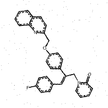 O=c1ccccn1CC(=Cc1ccc(F)cc1)c1ccc(OCc2ccc3ccccc3n2)cc1